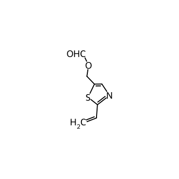 C=Cc1ncc(COC=O)s1